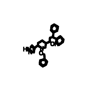 OC(CC(c1ccccc1)c1ccccc1)C1CCC(c2cn[nH]c2)N(OCc2ccccc2)C1